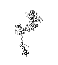 CC[C@H](C)[C@@H]([C@@H](CC(=O)N1CCC[C@H]1[C@H](OC)[C@@H](C)C(=O)N[C@@H](Cc1ccccc1)C(=O)NCc1ccc(NC(=O)[C@H](CCCNC(N)=O)NC(=O)[C@@H](NC(=O)COCCOCCOCC(=O)N2CCC(C(=O)Oc3c(F)c(F)c(F)c(F)c3F)CC2C)C(C)C)cc1)OC)N(C)C(=O)[C@@H](NC(=O)[C@H](C(C)C)N(C)C)C(C)C